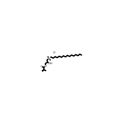 C=C(C)C(=O)OCC(O)C[N+](C)(C)CCCCCCCCCCCCCCCC.[Cl-]